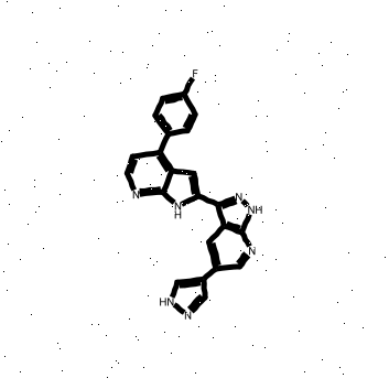 Fc1ccc(-c2ccnc3[nH]c(-c4n[nH]c5ncc(-c6cn[nH]c6)cc45)cc23)cc1